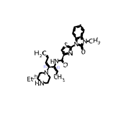 C=C/C=C(\C(=C/C)NC(=O)c1csc(-n2c(=O)n(C)c3ccccc32)n1)N1CCN[C@H](CC)C1